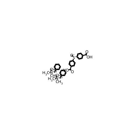 C[N+](C)(C)Cc1ccccc1.C[N+](C)(C)Cc1ccccc1.O=C(O)c1ccc([S+]([O-])c2ccc(C(=O)O)cc2)cc1